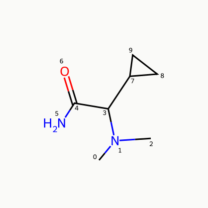 CN(C)C(C(N)=O)C1CC1